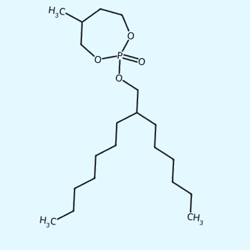 CCCCCCCC(CCCCCC)COP1(=O)OCCC(C)CO1